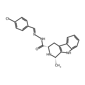 C[C@@H]1N[C@H](C(=O)N/N=C/c2ccc(Cl)cc2)Cc2c1[nH]c1ccccc21